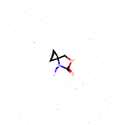 O=C1OCC2(CC2)N1I